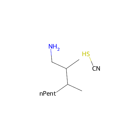 CCCCCC(C)C(C)CN.N#CS